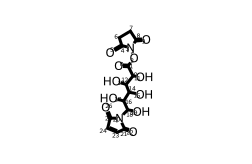 O=C(ON1C(=O)CCC1=O)C(O)C(O)C(O)C(O)C(O)N1C(=O)C=CC1=O